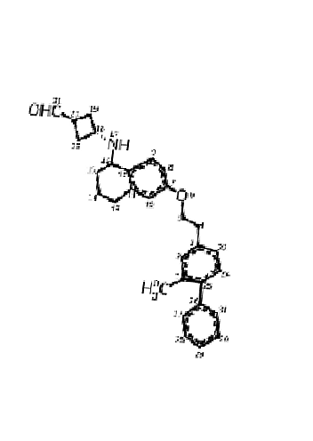 Cc1cc(CCOc2ccc3c(c2)CCCC3N[C@H]2C[C@H](C=O)C2)ccc1-c1ccccc1